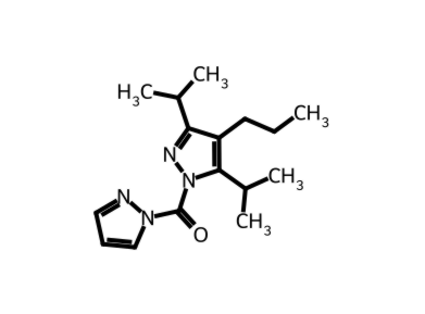 CCCc1c(C(C)C)nn(C(=O)n2cccn2)c1C(C)C